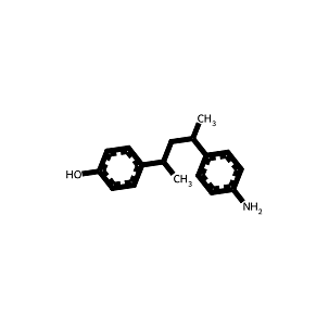 CC(CC(C)c1ccc(O)cc1)c1ccc(N)cc1